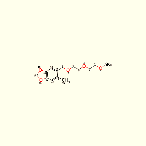 CCCCOCCOCCOCc1cc2c(cc1C)OCO2